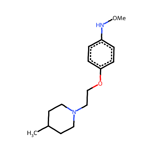 CONc1ccc(OCCN2CCC(C)CC2)cc1